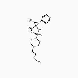 COCCN1CCN(S(=O)(=O)N[C@@]2(C(=O)O)[C@H](C)[C@@H]2c2ccccc2)CC1